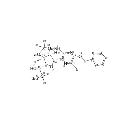 CC(=O)Nc1nc(OCc2ccccc2)c(C)nc1[C@@H]1O[C@H](C(O)[Si](C)(C)C(C)(C)C)[C@H]2OC(C)(C)O[C@H]21